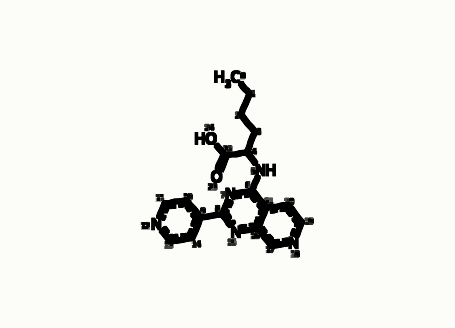 CCCCC(Nc1nc(-c2ccncc2)nc2cnccc12)C(=O)O